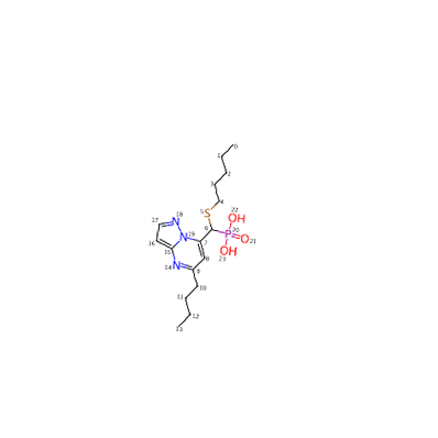 CCCCCSC(c1cc(CCCC)nc2ccnn12)P(=O)(O)O